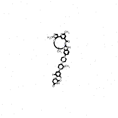 Cc1cc2cc(n1)-c1cnn(C)c1OCCC[C@@H](C)CN1/C(=N/C2=O)Nc2ccc(N3CCN([C@H]4CCN(c5cc(F)c([C@H]6CCC(=O)NC6=O)c(F)c5)C[C@@H]4C)CC3)cc21